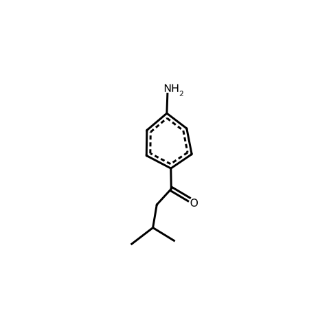 CC(C)CC(=O)c1ccc(N)cc1